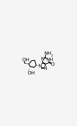 Nc1nc2c(ncn2[C@H]2CC[C@H](CO)[C@@H](CO)C2)c(=O)[nH]1